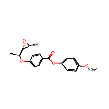 CCCCCCCCCCOc1ccc(OC(=O)c2ccc(O[C@@H](C)[C@@H]3O[C@H]3C(C)C)cc2)cc1